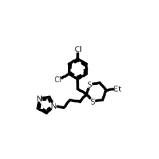 CCC1CSC(CCCn2ccnc2)(Cc2ccc(Cl)cc2Cl)SC1